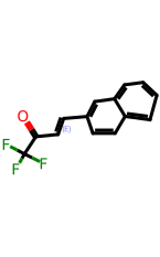 O=C(/C=C/c1ccc2ccccc2c1)C(F)(F)F